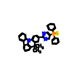 CC1(C)c2cc(-c3ncc(P(=S)(c4ccccc4)c4ccccc4)cn3)ccc2-n2c3ccccc3c3cccc1c32